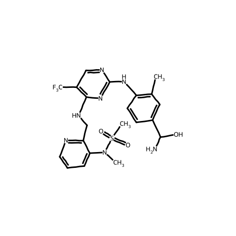 Cc1cc(C(N)O)ccc1Nc1ncc(C(F)(F)F)c(NCc2ncccc2N(C)S(C)(=O)=O)n1